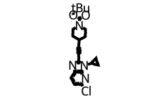 CC(C)(C)OC(=O)N1CCC(C#Cc2nc3ccc(Cl)nc3n2C2CC2)CC1